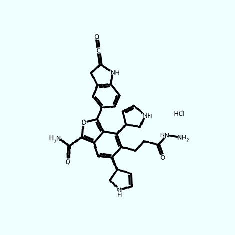 Cl.NNC(=O)CCc1c(C2C=CNC2)cc2c(C(N)=O)oc(-c3ccc4c(c3)CC(=C=O)N4)c2c1C1C=CNC1